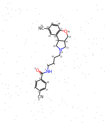 N#Cc1ccc(C(=O)NCCCCN2CC3COc4ccc(C#N)cc4C3C2)cc1